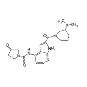 CN(C)C1CCCN(C(=O)c2cc3c(NC(=O)N4CCC(=O)C4)cccc3[nH]2)C1